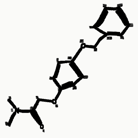 CN(C)C(=O)COc1ccc(OCc2ccccc2)cc1